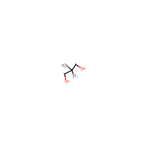 O=[N+]([O-])C(CO)(CO)C(F)(F)F